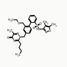 CCCCc1nc(=O)c(C)nn1Cc1ccc(-c2ccccc2S(=O)(=O)Nc2noc(C)c2C)c(COCC)c1